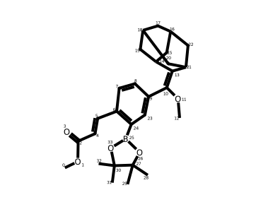 COC(=O)/C=C/c1ccc(C(OC)=C2C3CC4CC(C3)CC2C4)cc1B1OC(C)(C)C(C)(C)O1